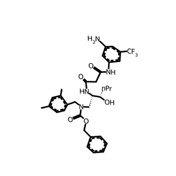 CCC[C@H](O)[C@H](CN(Cc1ccc(C)cc1C)C(=O)OCc1ccccc1)NC(=O)CC(=O)Nc1cc(N)cc(C(F)(F)F)c1